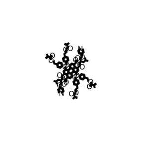 C=C(C)C(=O)OCCc1ccc(Oc2cc3c4c(cc(Oc5ccc(CCOC(=O)C(=C)C)cc5)c5c6c(Oc7ccc(CCOC(=O)C(=C)C)cc7)cc7c8c(cc(Oc9ccc(CCOC(=O)C(=C)C)cc9)c(c2c45)c86)C(=O)N(C(CC(C)C)C(=O)Oc2ccncc2)C7=O)C(=O)N(C(CC(C)C)C(=O)Oc2ccncc2)C3=O)cc1